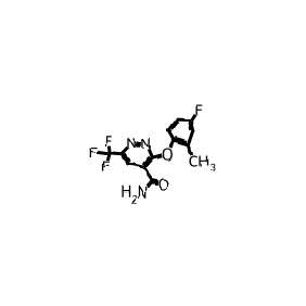 Cc1cc(F)ccc1Oc1nnc(C(F)(F)F)cc1C(N)=O